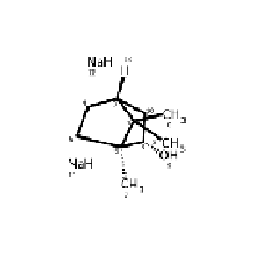 CC1(C)[C@@H]2CC[C@]1(C)[C@@H](O)C2.[NaH].[NaH]